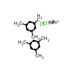 Cc1cc(C)cc(C)c1.Cc1cc(C)cc(C)c1.[Cl-].[Cl-].[Ru+].[Ru+]